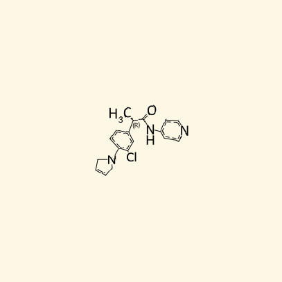 C[C@@H](C(=O)Nc1ccncc1)c1ccc(N2CC=CC2)c(Cl)c1